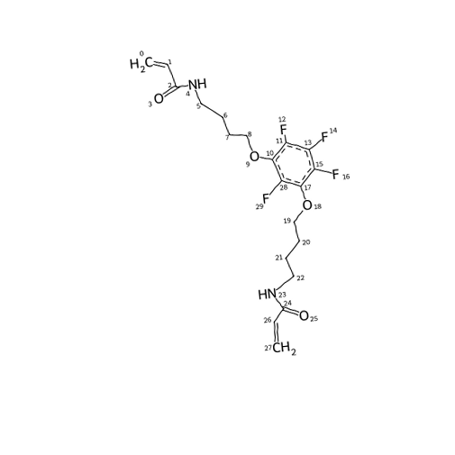 C=CC(=O)NCCCCOc1c(F)c(F)c(F)c(OCCCCNC(=O)C=C)c1F